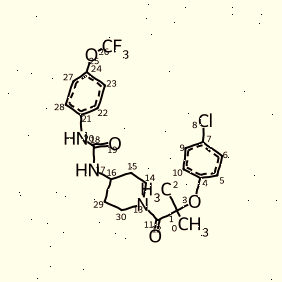 CC(C)(Oc1ccc(Cl)cc1)C(=O)N1CCC(NC(=O)Nc2ccc(OC(F)(F)F)cc2)CC1